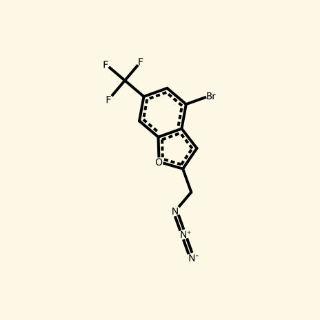 [N-]=[N+]=NCc1cc2c(Br)cc(C(F)(F)F)cc2o1